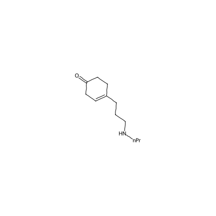 CCCNCCCC1=CCC(=O)CC1